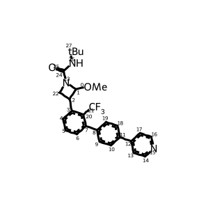 COC1C(c2cccc(-c3ccc(-c4ccncc4)cc3)c2C(F)(F)F)CN1C(=O)NC(C)(C)C